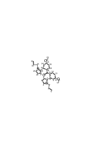 C=CCn1cccc1-c1cc(OC)ccc1C(=O)c1ccc(OC)cc1-c1cccn1CC=C